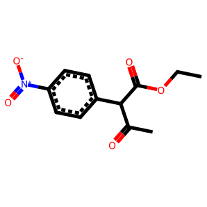 CCOC(=O)C(C(C)=O)c1ccc([N+](=O)[O-])cc1